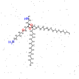 CCCCCCCCCCCCCCCCCCC1(CCCCCCCCCCCCCCCCCC)OC(CCNC)C(CCOCCCCCCN)O1